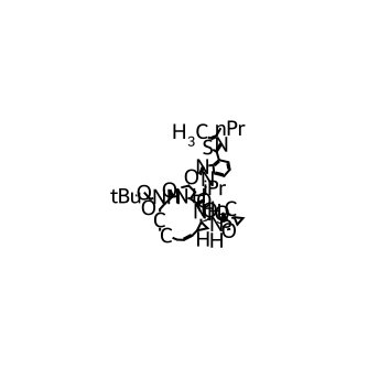 CCCc1nc(-c2cccc3c2nc(O[C@@H]2C[C@H]4C(=O)N[C@]5(C(=O)NS(=O)(=O)C6(C)CC6)C[C@H]5/C=C\CCCCC[C@H](NC(=O)OC(C)(C)C)C(=O)N4C2)n3C(C)C)sc1C